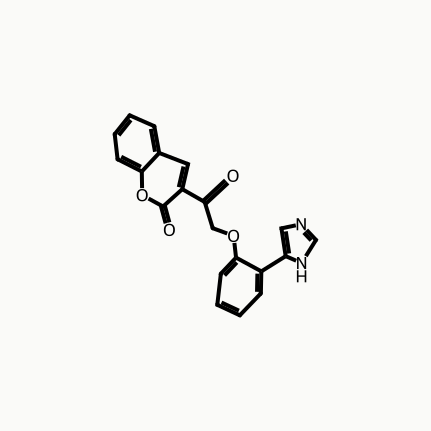 O=C(COc1ccccc1-c1cnc[nH]1)c1cc2ccccc2oc1=O